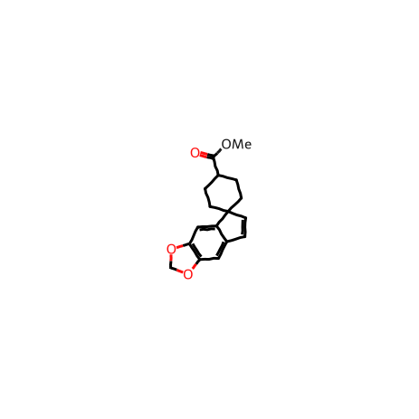 COC(=O)C1CCC2(C=Cc3cc4c(cc32)OCO4)CC1